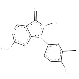 CSc1ncc2c(=O)n(C(C)C)n(-c3ccc(F)c(C)c3)c2n1